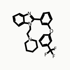 FC(F)(F)c1cccc(Oc2cccc(-c3nc4ccccc4n3CCN3CCCCC3)c2)c1